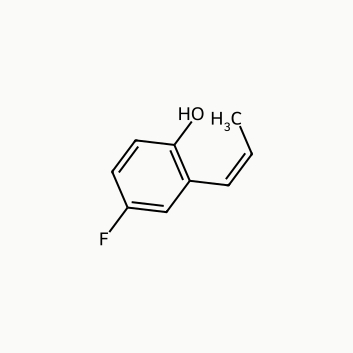 C/C=C\c1cc(F)ccc1O